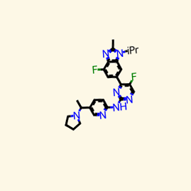 Cc1nc2c(F)cc(-c3nc(Nc4ccc(C(C)N5CCCC5)cn4)ncc3F)cc2n1C(C)C